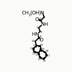 CN(O)CC(=O)NCCNC(=O)Cc1ccc2ccccc2c1